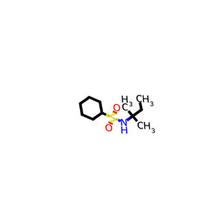 CCC(C)(C)NS(=O)(=O)C1CCCCC1